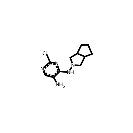 Nc1cnc(Cl)nc1NN1CC2CCCC2C1